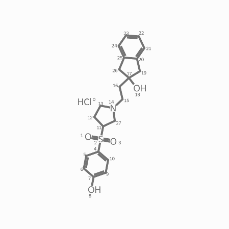 Cl.O=S(=O)(c1ccc(O)cc1)C1CCN(CCC2(O)Cc3ccccc3C2)C1